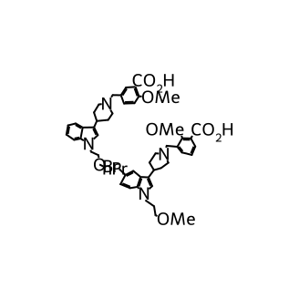 CCCOCCn1cc(C2CCN(Cc3ccc(OC)c(C(=O)O)c3)CC2)c2ccccc21.COCCCn1cc(C2CCN(Cc3cccc(C(=O)O)c3OC)CC2)c2cc(Br)ccc21